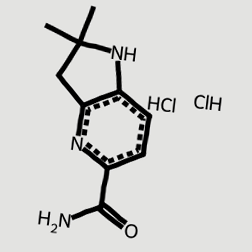 CC1(C)Cc2nc(C(N)=O)ccc2N1.Cl.Cl